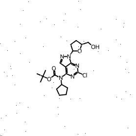 CC(C)(C)OC(=O)N(c1nc(Cl)nc2c1cnn2C1CCC(CO)O1)C1CCCC1